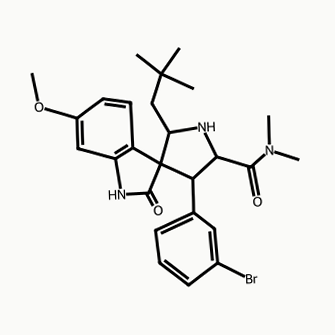 COc1ccc2c(c1)NC(=O)C21C(CC(C)(C)C)NC(C(=O)N(C)C)C1c1cccc(Br)c1